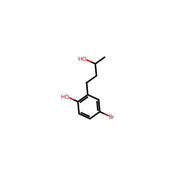 CC(O)CCc1cc(Br)ccc1O